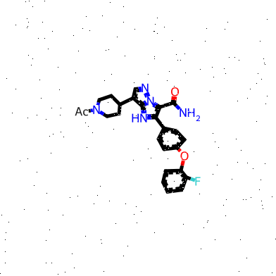 CC(=O)N1CCC(c2cnn3c(C(N)=O)c(-c4ccc(Oc5ccccc5F)cc4)[nH]c23)CC1